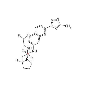 Cc1nnc(-c2ccc3cnc(NC(=O)N4C5CC[C@H]4C[C@@H](NCC(F)F)C5)cc3n2)s1